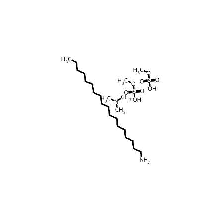 CCCCCCCCCCCCCCCCCCN.CN(C)C.COS(=O)(=O)O.COS(=O)(=O)O